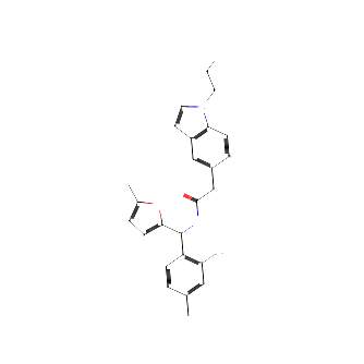 Cc1ccc(C(NC(=O)Cc2ccc3c(ccn3CCC(=O)O)c2)c2ccc(C)o2)c(Br)c1